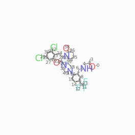 COC(C)CNCc1cc(C(F)(F)F)ccc1N1CCN(C(=O)C(Cc2ccc(Cl)cc2Cl)N2CCCC2=O)CC1